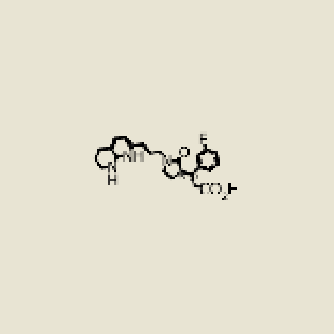 O=C(O)C[C@H](c1cccc(F)c1)[C@H]1CCN(CCCC2=CC=C3CCCNC3N2)C1=O